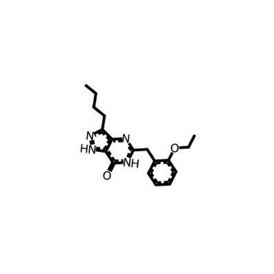 CCCCc1n[nH]c2c(=O)[nH]c(Cc3ccccc3OCC)nc12